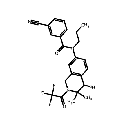 [3H]C1c2ccc(N(CCC)C(=O)c3cccc(C#N)c3)cc2CN(C(=O)C(F)(F)F)C1(C)C